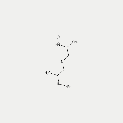 CC(C)NC(C)COCC(C)NC(C)C